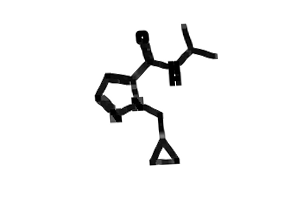 CC(C)NC(=O)c1ccnn1CC1CC1